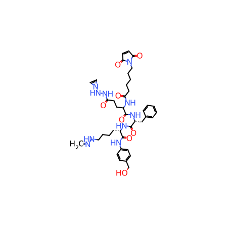 C=NNCCCC[C@H](NC(=O)[C@@H](Cc1ccccc1)NC(=O)C(CCC(=O)NNN1C=C1)NC(=O)CCCCCN1C(=O)C=CC1=O)C(=O)Nc1ccc(CO)cc1